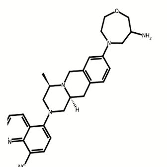 C[C@@H]1CN(c2ccc(C#N)c3ncccc23)C[C@@H]2Cc3ccc(N4CCOCC(N)C4)cc3CN21